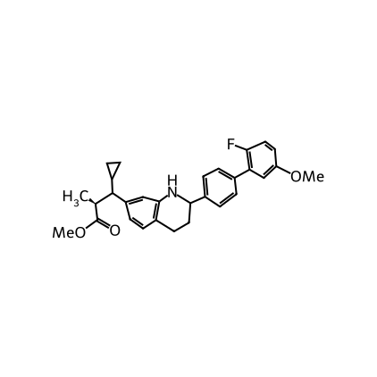 COC(=O)[C@@H](C)C(c1ccc2c(c1)NC(c1ccc(-c3cc(OC)ccc3F)cc1)CC2)C1CC1